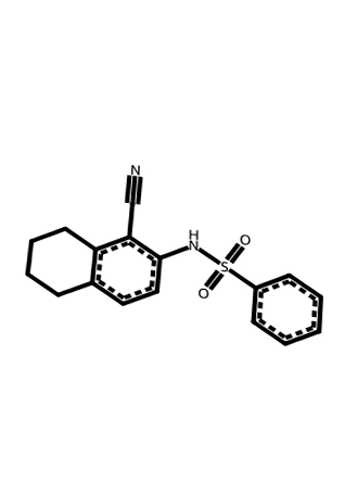 N#Cc1c(NS(=O)(=O)c2ccccc2)ccc2c1CCCC2